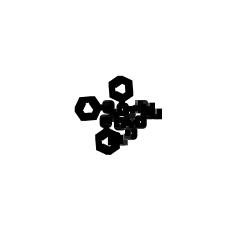 CCC(C)O[Si](OC(C)CC)(OC(C)CC)[O][Zr]([O]c1ccccc1)([O]c1ccccc1)[O]c1ccccc1